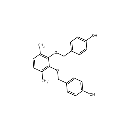 [CH2]c1ccc([CH2])c(OCc2ccc(O)cc2)c1OCc1ccc(O)cc1